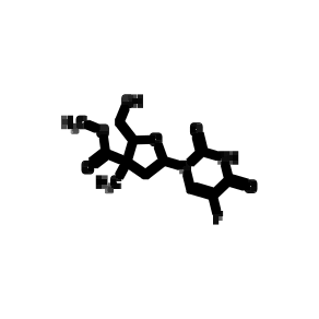 COC(=O)C1(C)CC(n2cc(F)c(=O)[nH]c2=O)OC1CO